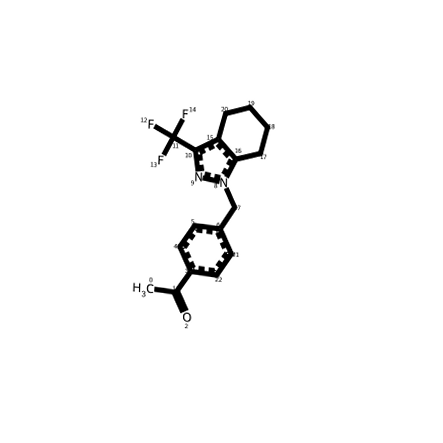 CC(=O)c1ccc(Cn2nc(C(F)(F)F)c3c2CCCC3)cc1